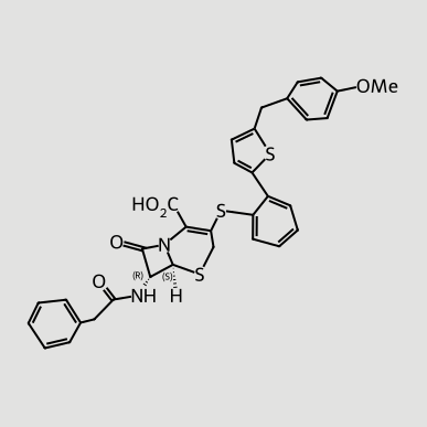 COc1ccc(Cc2ccc(-c3ccccc3SC3=C(C(=O)O)N4C(=O)[C@@H](NC(=O)Cc5ccccc5)[C@@H]4SC3)s2)cc1